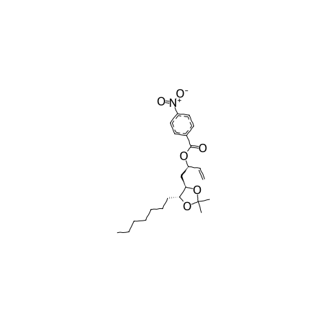 C=C[C@@H](C[C@H]1OC(C)(C)O[C@@H]1CCCCCCC)OC(=O)c1ccc([N+](=O)[O-])cc1